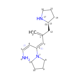 C=C(/C=C(\C=C/N)N1CCCC1)C[C@@H]1CCCN1